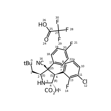 CC(C)(C)C[C@@H]1N[C@@H](C(=O)O)[C@H](c2cccc(Cl)c2F)[C@@]1(C#N)c1ccc(F)cc1.O=C(O)C(F)(F)F